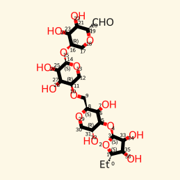 CC[C@@H]1O[C@@H](OC2C(O)[C@H](CO[C@@H]3CO[C@@H](O[C@@H]4CO[C@@H](C=O)C(O)C4O)C(O)C3O)OC[C@H]2O)C(O)C1O